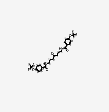 O=C(CCCNC(=O)c1ccc(OC(F)(F)F)cc1)CCCNC(=O)c1ccc(OC(F)(F)F)cc1